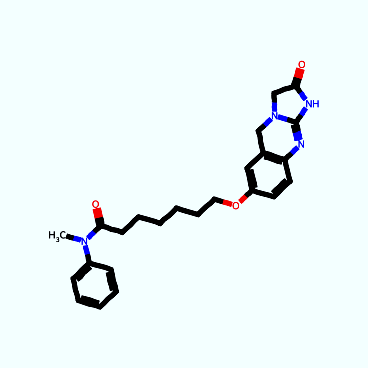 CN(C(=O)CCCCCCOc1ccc2c(c1)CN1CC(=O)NC1=N2)c1ccccc1